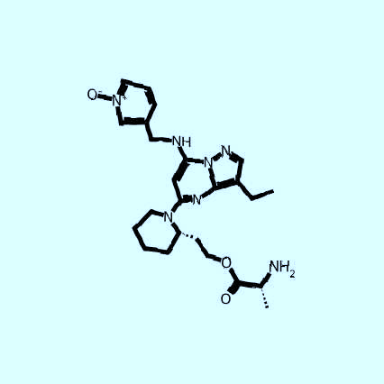 CCc1cnn2c(NCc3ccc[n+]([O-])c3)cc(N3CCCC[C@H]3CCOC(=O)[C@@H](C)N)nc12